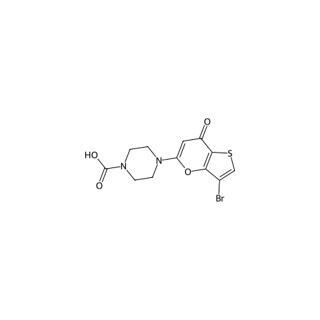 O=C(O)N1CCN(c2cc(=O)c3scc(Br)c3o2)CC1